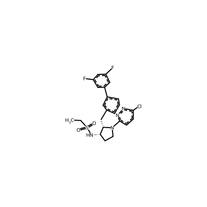 CCS(=O)(=O)N[C@H]1CCN(c2ccc(Cl)nn2)[C@H]1Cc1cccc(-c2cc(F)cc(F)c2)c1